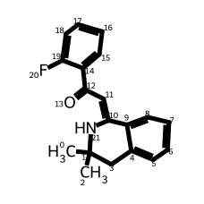 CC1(C)Cc2ccccc2C(=CC(=O)c2ccccc2F)N1